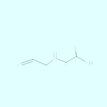 C=CCNCC(C)S